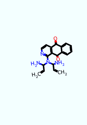 C=CC(N)N(c1nccc2c1C(=O)c1ccccc1C2=O)C(N)C=C